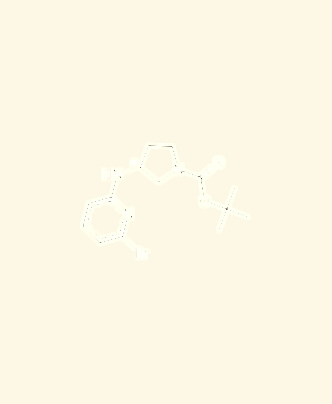 CC(C)(C)OC(=O)N1CC[C@@H](Nc2cccc(Br)n2)C1